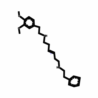 COc1ccc(CCNCC/C=C/CCNCCc2ccccc2)cc1OC